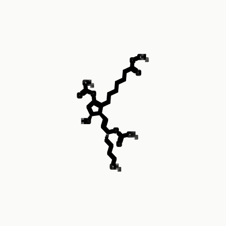 CCCCC[C@H](/C=C/[C@@H]1C(CCCCCCC(=O)OC)=C(OC(C)=O)C[C@H]1O)OC(C)=O